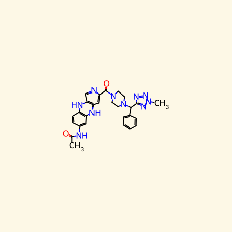 CC(=O)Nc1ccc2c(c1)Nc1cc(C(=O)N3CCN(C(c4ccccc4)c4nnn(C)n4)CC3)ncc1N2